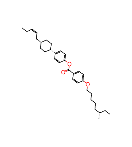 CC/C=C\C[C@H]1CC[C@H](c2ccc(OC(=O)c3ccc(OCCCCC[C@@H](C)CC)cc3)cc2)CC1